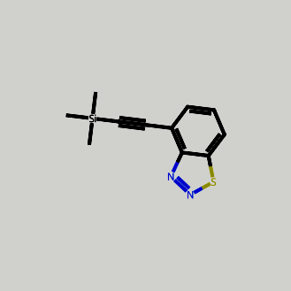 C[Si](C)(C)C#Cc1cccc2snnc12